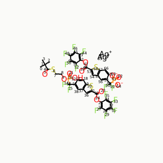 CC(C)(C)C(=O)SCCOP(=O)(O)C(F)(F)c1ccc2sc(C(=O)Oc3c(F)c(F)c(F)c(F)c3F)cc2c1.O=C(Oc1c(F)c(F)c(F)c(F)c1F)c1cc2cc(C(F)(F)P(=O)([O-])[O-])ccc2s1.[Ag+].[Ag+]